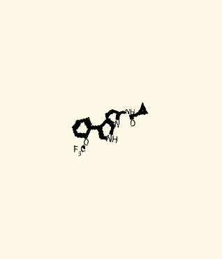 O=C(Nc1ccc2c(-c3ccccc3OC(F)(F)F)c[nH]c2n1)C1CC1